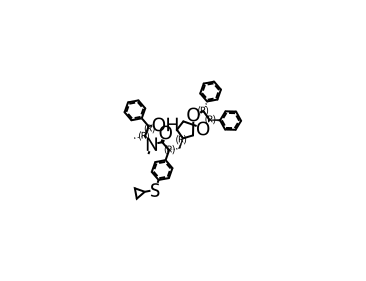 C[C@H]([C@H](O)c1ccccc1)N(C)C(=O)[C@H](C[C@H]1CCC2(C1)O[C@H](c1ccccc1)[C@@H](c1ccccc1)O2)c1ccc(SC2CC2)cc1